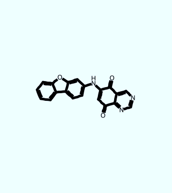 O=C1C(Nc2ccc3c(c2)oc2ccccc23)=CC(=O)c2ncncc21